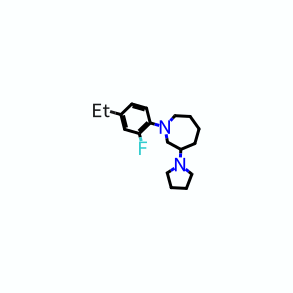 CCc1ccc(N2CCCCC(N3CCCC3)C2)c(F)c1